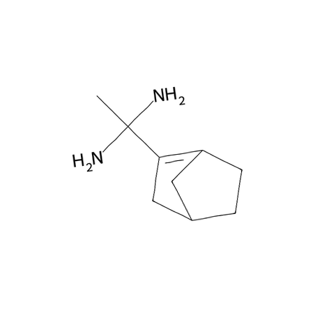 CC(N)(N)C1=C2CCC(C2)C1